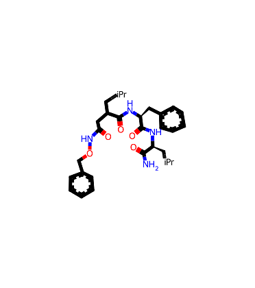 CC(C)CC(CC(=O)NOCc1ccccc1)C(=O)N[C@@H](Cc1ccccc1)C(=O)N[C@@H](CC(C)C)C(N)=O